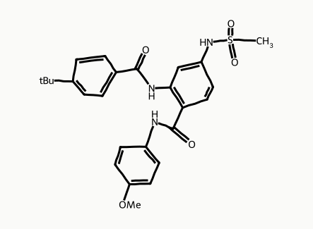 COc1ccc(NC(=O)c2ccc(NS(C)(=O)=O)cc2NC(=O)c2ccc(C(C)(C)C)cc2)cc1